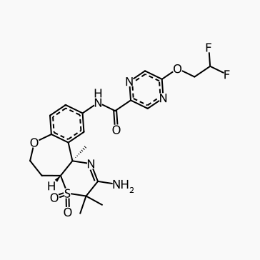 CC1(C)C(N)=N[C@]2(C)c3cc(NC(=O)c4cnc(OCC(F)F)cn4)ccc3OCC[C@H]2S1(=O)=O